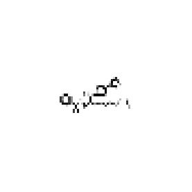 CCCCCCC(=NOC(=O)c1ccccc1)C(=O)c1ccc(-c2ccsc2)cc1